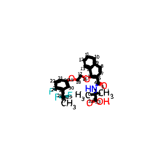 CC(C)(NC(=O)c1ccc2ccccc2c1OCCOc1ccc(F)c(C(C)(F)F)c1)C(=O)O